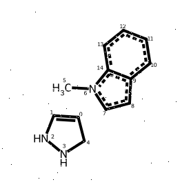 C1=CNNC1.Cn1ccc2ccccc21